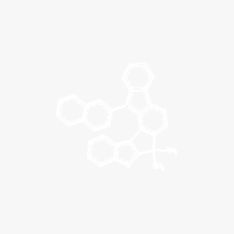 CC1(C)c2ccc3c4ccccc4n(-c4ccc5ccccc5c4)c3c2-c2c1sc1ccccc21